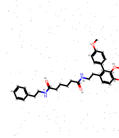 COc1ccc(-c2c(CCNC(=O)CCCCC(=O)NCCc3ccccc3)ccc(OC)c2OC)cc1